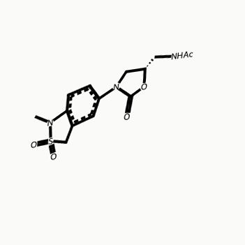 CC(=O)NC[C@H]1CN(c2ccc3c(c2)CS(=O)(=O)N3C)C(=O)O1